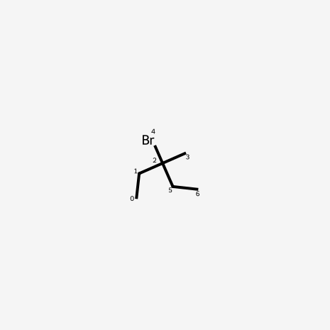 CCC(C)(Br)CC